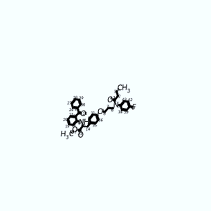 CCCC(=O)N(CCCOc1ccc(C[C@H](Nc2ccccc2C(=O)c2ccccc2)C(=O)OC)cc1)c1ccc(F)cc1